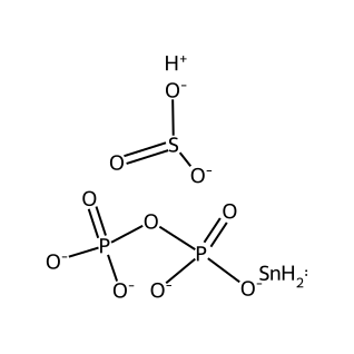 O=P([O-])([O-])OP(=O)([O-])[O-].O=S([O-])[O-].[H+].[SnH2]